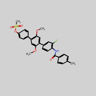 COc1cc(-c2ccc(NC(=O)c3ccc(C)cc3)c(F)c2)c(OC)cc1-c1ccc(OS(C)(=O)=O)cc1